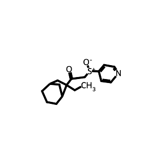 CCC1(C(=O)C[S+]([O-])c2ccncc2)CC2CCCC1C2